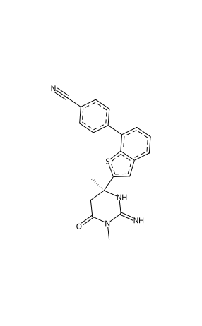 CN1C(=N)N[C@](C)(c2cc3cccc(-c4ccc(C#N)cc4)c3s2)CC1=O